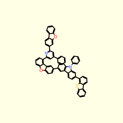 c1ccc(-c2cc(-c3ccc4c(c3)oc3ccccc34)nc(-c3cccc4oc5ccc(-c6ccc7c(c6)c6ccc(-c8cccc9c8sc8ccccc89)cc6n7-c6ccccc6)cc5c34)c2)cc1